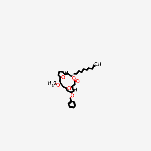 C#CCCCCCCCC[C@H]1C[C@@H]2CCCC(C[C@@H](OC)CC3C[C@H](OCc4ccccc4)C[C@@H](CC(=O)O1)O3)O2